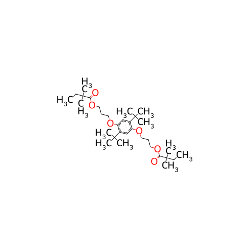 CCC(C)(C)C(=O)OCCCOc1cc(C(C)(C)C)c(OCCCOC(=O)C(C)(C)CC)cc1C(C)(C)C